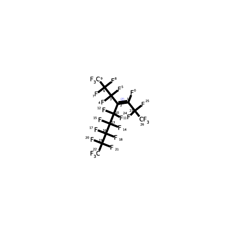 F/C(=C(\C(F)(F)C(F)(F)C(F)(F)F)C(F)(F)C(F)(F)C(F)(F)C(F)(F)C(F)(F)F)C(F)(F)C(F)(F)F